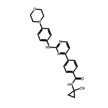 N#CC1(NC(=O)c2ccc(-c3ccnc(Nc4ccc(N5CCOCC5)cc4)n3)cc2)CC1